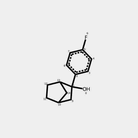 OC1(c2ccc(F)cc2)CC2CCC1C2